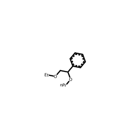 [CH2]COCC(OCCC)c1ccccc1